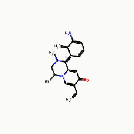 C=Cc1cn2c(cc1=O)/C(=c1\cccc(N)c1=C)N(C)CC2C(C)(C)C